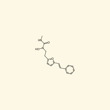 CNC(=O)N(O)CCc1ccc(C=Cc2ccccc2)o1